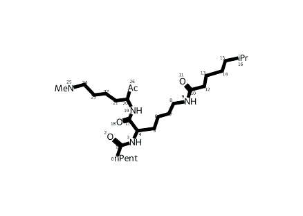 CCCCCC(=O)NC(CCCCNC(=O)CCCCC(C)C)C(=O)NC(CCCCNC)C(C)=O